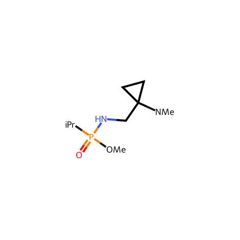 CNC1(CNP(=O)(OC)C(C)C)CC1